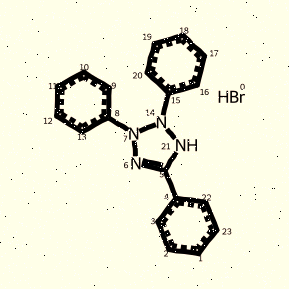 Br.c1ccc(C2=NN(c3ccccc3)N(c3ccccc3)N2)cc1